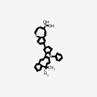 CC1(C)/C=C/c2c(c3cc(-c4ccc5scccc(B(O)O)ccc5c4)ccc3n2-c2ccccc2)/C=C/c2ccccc21